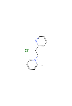 Cc1cccc[n+]1CCc1ccccn1.[Cl-]